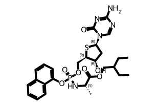 CCC(CC)COC(=O)[C@H](C)NP(=O)(OC[C@H]1S[C@@H](n2cnc(N)nc2=O)C[C@H]1O)Oc1cccc2ccccc12